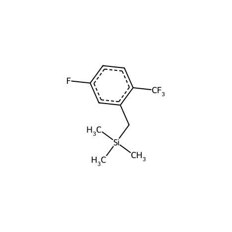 C[Si](C)(C)Cc1cc(F)ccc1C(F)(F)F